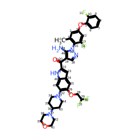 Cc1cc(Oc2ccccc2F)cc(F)c1-n1ncc(C(=O)c2cc3cc(OCC(F)F)c(N4CCC(N5CCOCC5)CC4)cc3[nH]2)c1N